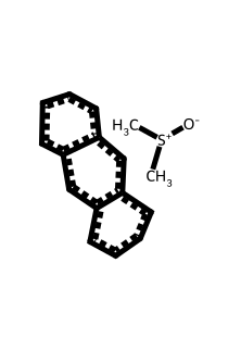 C[S+](C)[O-].c1ccc2cc3ccccc3cc2c1